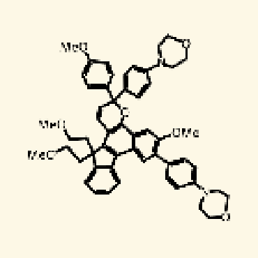 COCCC1(CCOC)c2ccccc2-c2c1c1c(c3cc(OC)c(-c4ccc(N5CCOCC5)cc4)cc23)OC(c2ccc(OC)cc2)(c2ccc(N3CCOCC3)cc2)C=C1